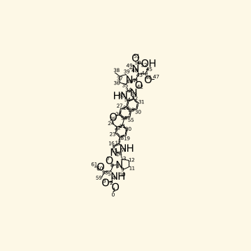 COC(=O)N[C@H](C(=O)N1[C@@H](C)CC[C@H]1c1ncc(-c2ccc3c(c2)COc2cc4c(ccc5nc([C@@H]6CC(C)CN6C(=O)[C@H]([C@@H](C)OC)N(C)C(=O)O)[nH]c54)cc2-3)[nH]1)C(C)OC